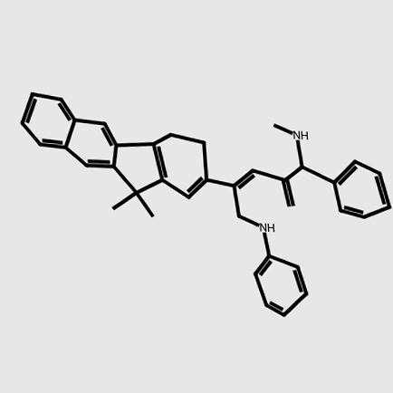 C=C(/C=C(\CNc1ccccc1)C1=CC2=C(CC1)c1cc3ccccc3cc1C2(C)C)C(NC)c1ccccc1